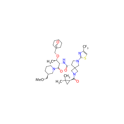 COC[C@H]1CCCN(C(=O)[C@@H](NC(=O)[C@@H]2CN(c3nc(C(F)(F)F)cs3)CC23CN(C(=O)[C@H]2CC2(C)C)C3)[C@@H](C)OCC23CCC(CC2)OC3)C1